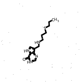 CCCSCCCNCc1c[nH]c2c(=O)[nH]cnc12